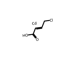 O=C(O)/C=C/CCl.[Cd]